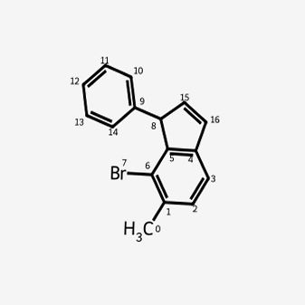 Cc1ccc2c(c1Br)C(c1ccccc1)C=C2